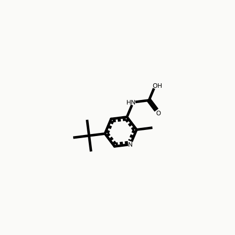 Cc1ncc(C(C)(C)C)cc1NC(=O)O